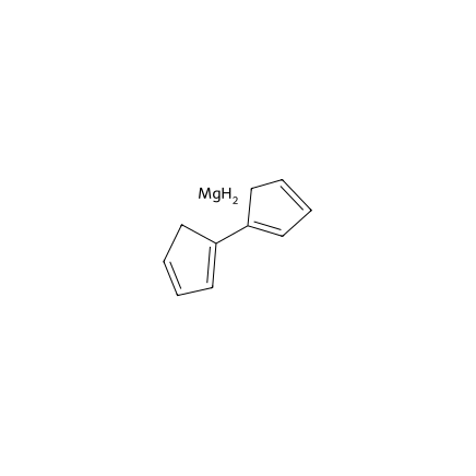 C1=CCC(C2=CC=CC2)=C1.[MgH2]